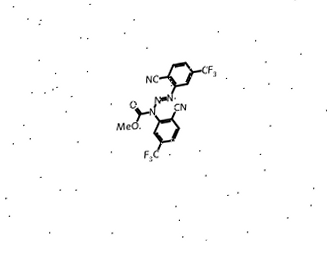 COC(=O)N(N=Nc1cc(C(F)(F)F)ccc1C#N)c1cc(C(F)(F)F)ccc1C#N